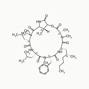 CCCC[C@@H](C)C[C@@H]1NC(=O)[C@H](Cc2ccccc2)N(C)C(=O)[C@H](CC(C)C)NC(=O)[C@H](CC(C)C)N(C)C(=O)C2NC(=O)C(OC(=O)[C@H](C)N(C)C1=O)[C@@H]2C